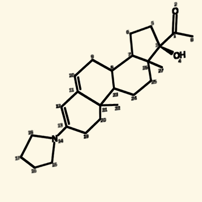 CC(=O)[C@@]1(O)CCC2C3CC=C4C=C(N5CCCC5)CCC4(C)C3CCC21C